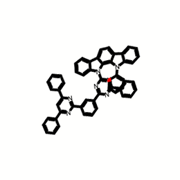 c1ccc(-c2cc(-c3ccccc3)nc(-c3cccc(-c4nc(-c5ccccc5)nc(-n5c6ccccc6c6ccc7c8ccccc8n(-c8ccccc8)c7c65)n4)c3)n2)cc1